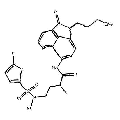 CCN(CCC(C)C(=O)Nc1ccc2c3c(cccc13)C(=O)N2CCCOC)S(=O)(=O)c1ccc(Cl)s1